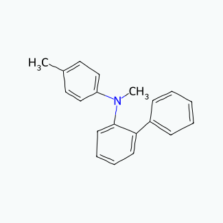 Cc1ccc(N(C)c2ccccc2-c2ccccc2)cc1